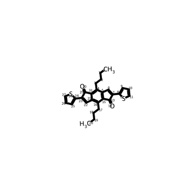 CCCCc1c2cc(-c3cccs3)c(=O)c2c(CCCC)c2cc(-c3cccs3)c(=O)c12